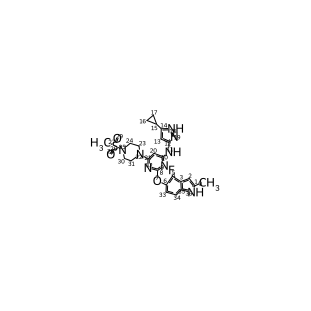 Cc1cc2c(F)c(Oc3nc(Nc4cc(C5CC5)[nH]n4)cc(N4CCN(S(C)(=O)=O)CC4)n3)ccc2[nH]1